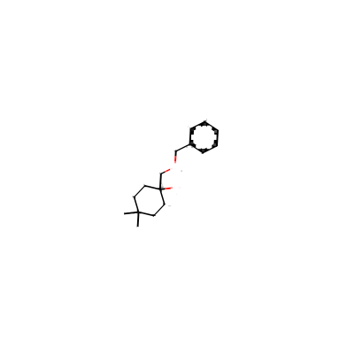 CC1(C)CCC(O)(COCc2ccccc2)CC1